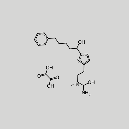 C[C@H](CCc1ccc(C(O)CCCCc2ccccc2)s1)C(N)O.O=C(O)C(=O)O